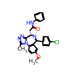 COc1ccc2c(c1)C(c1ccc(Cl)cc1)=N[C@@H](CC(=O)Nc1ccccc1)c1nnc(C)n1-2